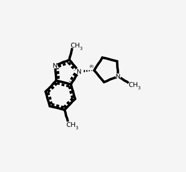 Cc1ccc2nc(C)n([C@@H]3CCN(C)C3)c2c1